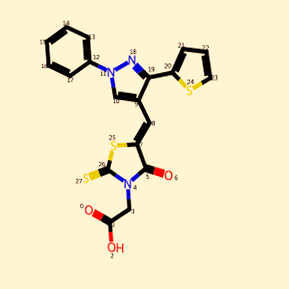 O=C(O)CN1C(=O)C(=Cc2cn(-c3ccccc3)nc2-c2cccs2)SC1=S